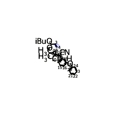 CC(C)COC(=O)/C=C\[C@H]1C(C)(C)[C@]1(C(=O)O)[C@@H](C#N)c1cccc(Oc2ccccc2)c1